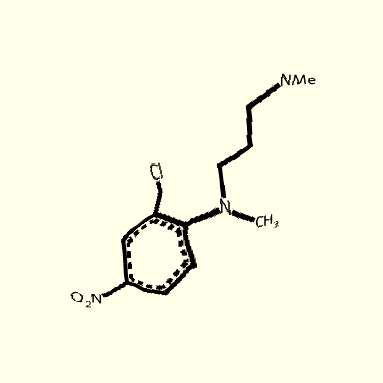 CNCCCN(C)c1ccc([N+](=O)[O-])cc1Cl